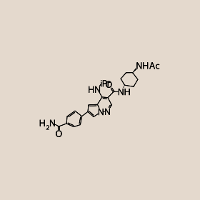 CC(=O)N[C@H]1CC[C@H](NC(=O)c2cnn3cc(-c4ccc(C(N)=O)cc4)cc3c2NC(C)C)CC1